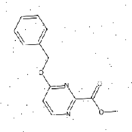 COC(=O)c1nccc(OCc2ccccc2)n1